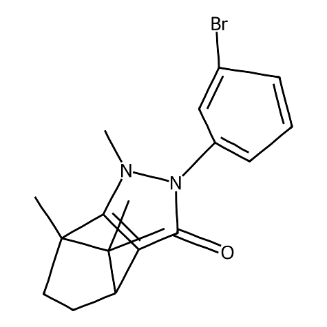 Cn1c2c(c(=O)n1-c1cccc(Br)c1)C1CCC2(C)C1(C)C